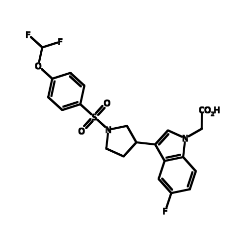 O=C(O)Cn1cc(C2CCN(S(=O)(=O)c3ccc(OC(F)F)cc3)C2)c2cc(F)ccc21